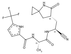 C[C@H](NC(=O)c1ccc(C(F)(F)F)[nH]1)C(=O)N[C@H](C#N)C[C@@H]1CC2(CC2)NC1=O